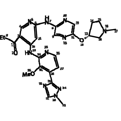 CCC(=O)c1cnc(Nc2cnc(O[C@@H]3CCN(C)C3)cn2)cc1Nc1nccc(-c2ncn(C)n2)c1OC